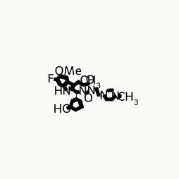 COc1cc2c3c([nH]c2cc1F)[C@@H](C1=CC(O)CC=C1)N1C(=O)N(CCN2CCN(C)CC2)C(=O)[C@]1(C)C3